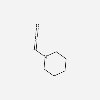 O=C=[C]N1CCCCC1